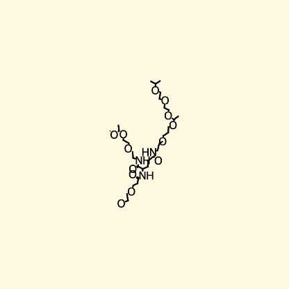 COCCOCCC(=O)NC(CCC(=O)NCCOCCCOC(C)OCCOCCOC(C)C)C(=O)NCCOCCOC(C)OC